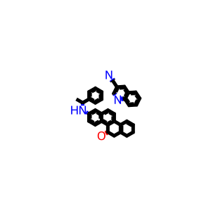 CC(Nc1ccc2c3c(ccc2c1)C1=C(CCC=C1)CC3=O)c1ccccc1.N#Cc1cnc2ccccc2c1